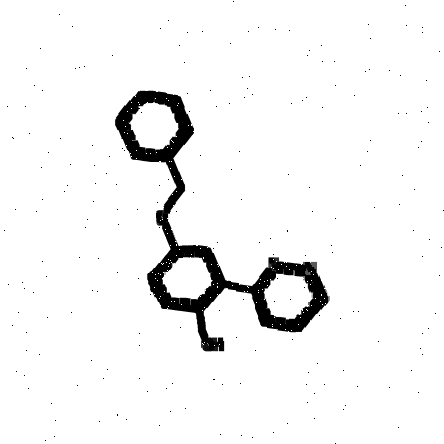 Oc1ccc(OCc2ccccc2)cc1-c1cccnn1